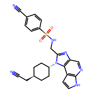 N#CC[C@H]1CC[C@H](n2c(CNS(=O)(=O)c3ccc(C#N)cc3)nc3cnc4[nH]ccc4c32)CC1